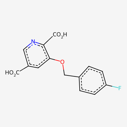 O=C(O)c1cnc(C(=O)O)c(OCc2ccc(F)cc2)c1